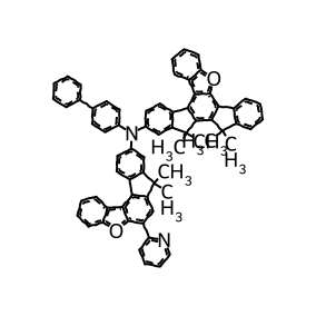 CC1(C)c2cc(N(c3ccc(-c4ccccc4)cc3)c3ccc4c(c3)C(C)(C)c3c5c(c6oc7ccccc7c6c3-4)-c3ccccc3C5(C)C)ccc2-c2c1cc(-c1ccccn1)c1oc3ccccc3c21